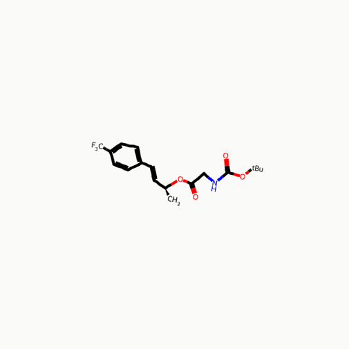 C[C@@H](C=Cc1ccc(C(F)(F)F)cc1)OC(=O)CNC(=O)OC(C)(C)C